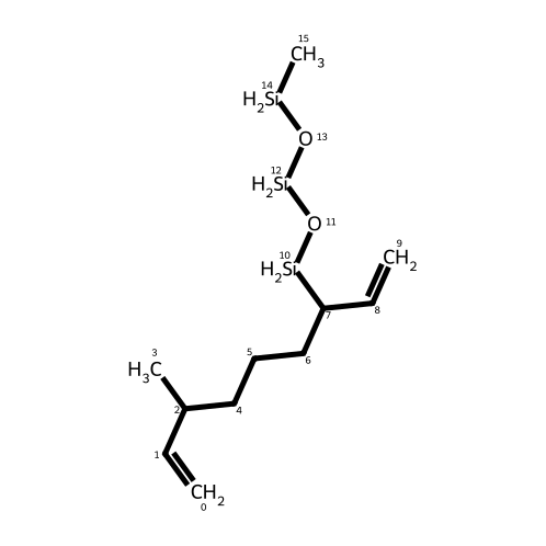 C=CC(C)CCCC(C=C)[SiH2]O[SiH2]O[SiH2]C